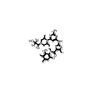 [2H]C(N1CC(C)N(c2cc(Nc3nc(C)c(C(=O)N(C)c4c(Cl)cc(C)c(C)c4C(C)C)s3)nc(C(C)C)n2)C(C)C1)C([2H])([2H])O